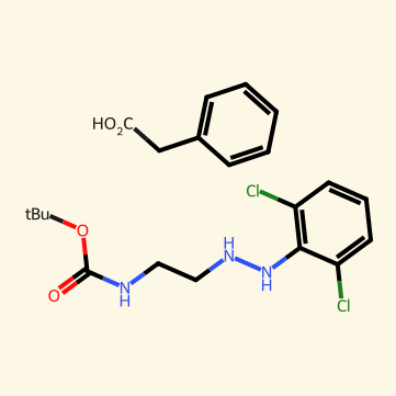 CC(C)(C)OC(=O)NCCNNc1c(Cl)cccc1Cl.O=C(O)Cc1ccccc1